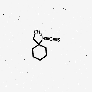 CCC1(N=C=S)CCCCC1